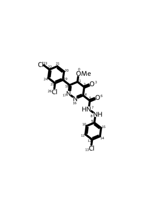 COC1C(=O)C(C(=O)NNc2ccc(Cl)cc2)=NN=C1c1ccc(Cl)cc1Cl